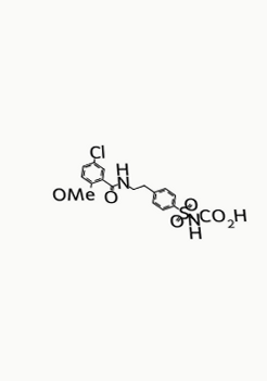 COc1ccc(Cl)cc1C(=O)NCCc1ccc(S(=O)(=O)NC(=O)O)cc1